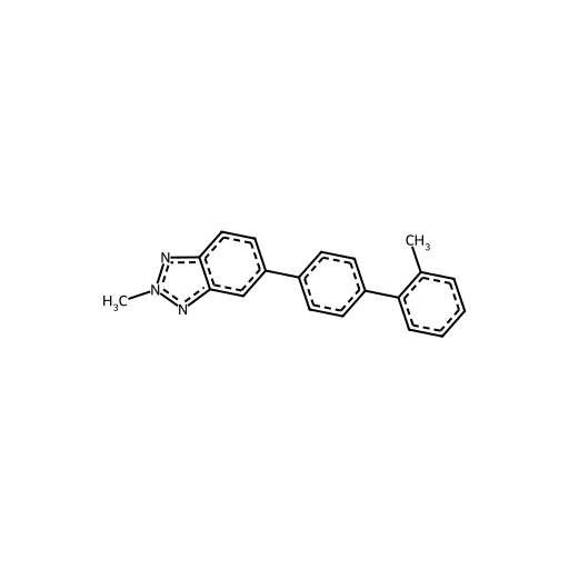 Cc1ccccc1-c1ccc(-c2ccc3nn(C)nc3c2)cc1